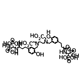 O=C(O)CN(CCN(CC(=O)O)Cc1cc(CCC(=O)NC(P(=O)(O)O)P(=O)(O)O)ccc1O)Cc1cc(CCC(=O)NC(P(=O)(O)O)P(=O)(O)O)ccc1O